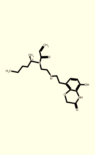 C=CC(=O)N(CCNCCc1ccc(O)c2c1OCC(=O)N2)[C@H](C)CCCC